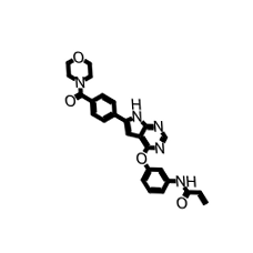 C=CC(=O)Nc1cccc(Oc2ncnc3[nH]c(-c4ccc(C(=O)N5CCOCC5)cc4)cc23)c1